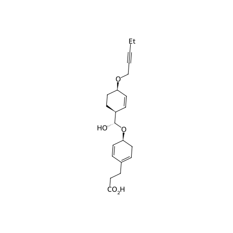 CCC#CCO[C@H]1C=C[C@@H]([C@@H](O)O[C@@H]2C=CC(CCC(=O)O)=CC2)CC1